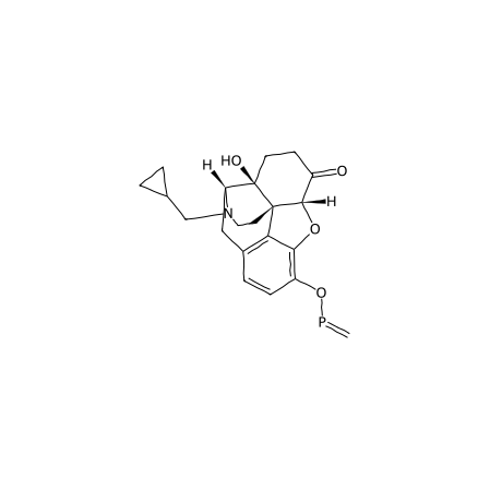 C=POc1ccc2c3c1O[C@H]1C(=O)CC[C@@]4(O)[C@@H](C2)N(CC2CC2)CC[C@]314